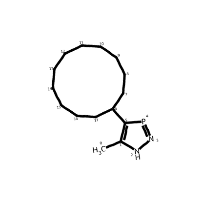 Cc1[nH]npc1C1CCCCCCCCCCC1